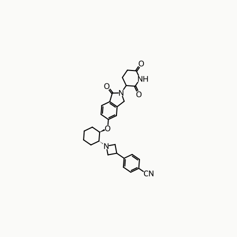 N#Cc1ccc(C2CN([C@@H]3CCCC[C@H]3Oc3ccc4c(c3)CN(C3CCC(=O)NC3=O)C4=O)C2)cc1